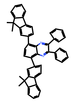 CC1(C)c2ccccc2-c2ccc(-c3ccc(-c4ccc5c(c4)C(C)(C)c4ccccc4-5)c4nc(-c5ccccc5)c(-c5ccccc5)nc34)cc21